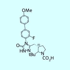 COc1ccc(-c2ccc(-n3c(C[C@@H]4CCN(C(=O)O)C4C(C)(C)C)n[nH]c3=O)c(F)c2)cc1